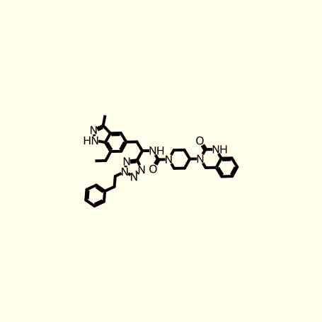 CCc1cc(CC(NC(=O)N2CCC(N3Cc4ccccc4NC3=O)CC2)c2nnn(CCc3ccccc3)n2)cc2c(C)n[nH]c12